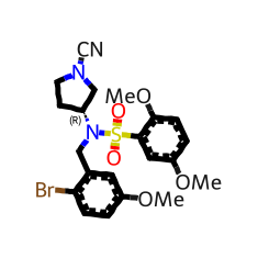 COc1ccc(Br)c(CN([C@@H]2CCN(C#N)C2)S(=O)(=O)c2cc(OC)ccc2OC)c1